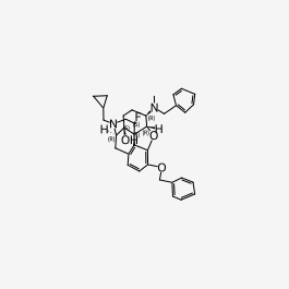 CN(Cc1ccccc1)[C@@H]1CC[C@@]2(O)[C@H]3Cc4ccc(OCc5ccccc5)c5c4[C@@]2([C@H](F)CN3CC2CC2)[C@H]1O5